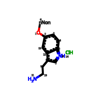 CCCCCCCCCOc1ccc2[nH]cc(CCN)c2c1.Cl